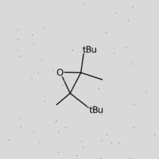 CC(C)(C)C1(C)OC1(C)C(C)(C)C